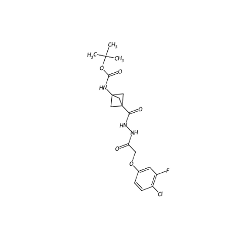 CC(C)(C)OC(=O)NC12CC(C(=O)NNC(=O)COc3ccc(Cl)c(F)c3)(C1)C2